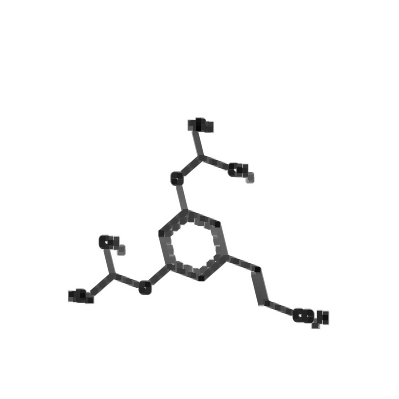 CCCCC(C)Oc1cc(/C=C/C(=O)O)cc(OC(C)CCCC)c1